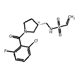 C=CS(=O)(=O)NC[C@H]1CCN(C(=O)c2c(F)cccc2Cl)C1